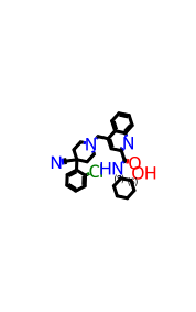 N#CC1(c2ccccc2Cl)CCN(Cc2cc(C(=O)N[C@H]3CCCC[C@@H]3O)nc3ccccc23)CC1